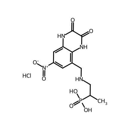 CC(CNCc1cc([N+](=O)[O-])cc2[nH]c(=O)c(=O)[nH]c12)P(=O)(O)O.Cl